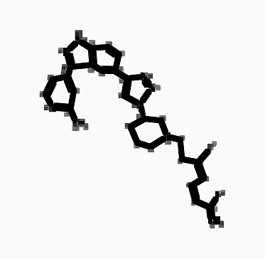 C=C(F)/C=C\C=C(\F)CCN1CCC[C@@H](n2cc(-c3ccc4[nH]nc(-c5ccnc(C)c5)c4c3)nn2)C1